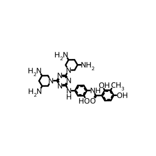 Cc1c(O)ccc(C(=O)Nc2ccc(Nc3nc(N4CC(N)CC(N)C4)nc(N4CC(N)CC(N)C4)n3)cc2O)c1O